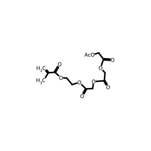 C=C(C)C(=O)OCCOC(=O)COC(=O)COC(=O)COC(C)=O